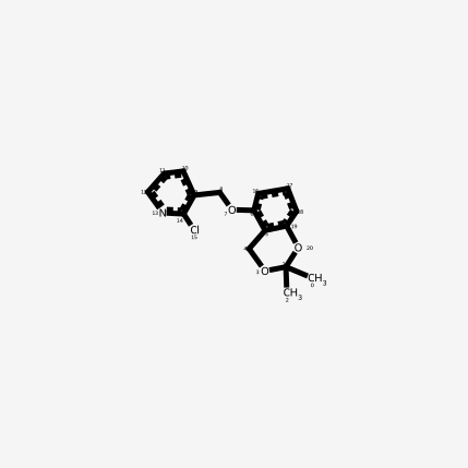 CC1(C)OCc2c(OCc3cccnc3Cl)cccc2O1